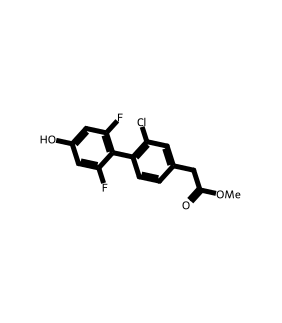 COC(=O)Cc1ccc(-c2c(F)cc(O)cc2F)c(Cl)c1